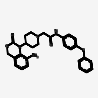 Cc1cccc2c1N(C1CCN(CC(=O)Nc3ccc(Oc4ccccc4)cc3)CC1)C(=O)OC2